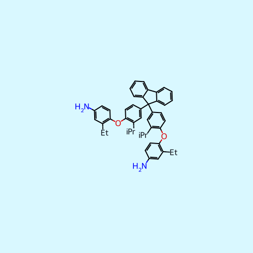 CCc1cc(N)ccc1Oc1ccc(C2(c3ccc(Oc4ccc(N)cc4CC)c(C(C)C)c3)c3ccccc3-c3ccccc32)cc1C(C)C